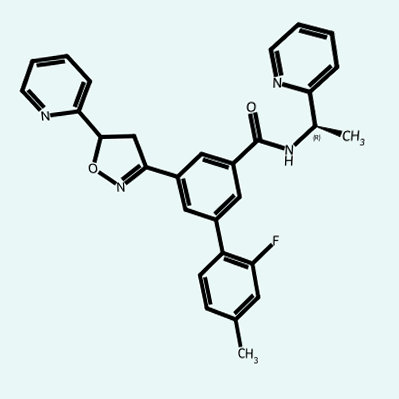 Cc1ccc(-c2cc(C(=O)N[C@H](C)c3ccccn3)cc(C3=NOC(c4ccccn4)C3)c2)c(F)c1